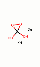 OC1(O)OO1.[KH].[Zn]